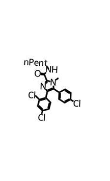 CCCCCNC(=O)c1nc(-c2ccc(Cl)cc2Cl)c(-c2ccc(Cl)cc2)n1C